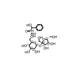 O=[PH](O)C(O)c1ccccc1.OC[C@H]1O[C@@](CO)(O[C@H]2O[C@H](CO)[C@@H](O)[C@H](O)[C@H]2O)[C@@H](O)[C@@H]1O